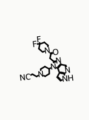 N#CCCN1CCC(n2c(CC(=O)N3CCC(F)(F)CC3)nc3cnc4[nH]ccc4c32)CC1